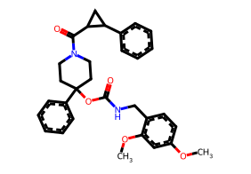 COc1ccc(CNC(=O)OC2(c3ccccc3)CCN(C(=O)C3CC3c3ccccc3)CC2)c(OC)c1